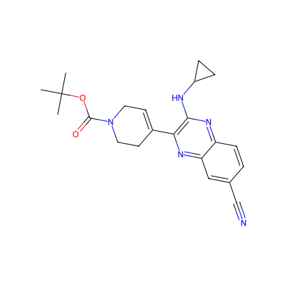 CC(C)(C)OC(=O)N1CC=C(c2nc3cc(C#N)ccc3nc2NC2CC2)CC1